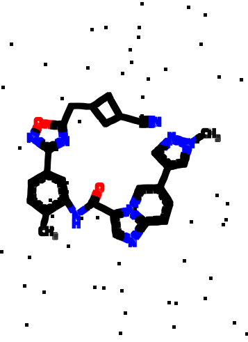 Cc1ccc(-c2noc(CC3CC(C#N)C3)n2)cc1NC(=O)c1cnc2ccc(-c3cnn(C)c3)cn12